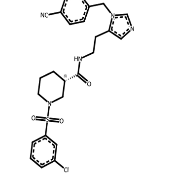 N#Cc1ccc(Cn2cncc2CCNC(=O)[C@H]2CCCN(S(=O)(=O)c3cccc(Cl)c3)C2)cc1